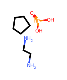 C1CCCC1.NCCN.O=[PH](O)O